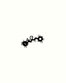 CC(=O)[C]12[CH]3[CH]4[CH]5[CH]1[Fe]45321678[CH]2[CH]1[CH]6[C]7(C=CC(=O)C=Cc1ccccc1)[CH]28